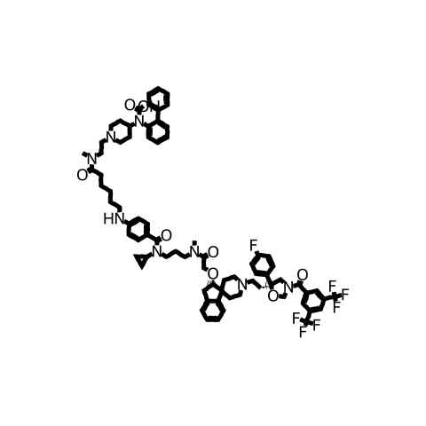 CN(CCN1CCC(N(C(=O)O)c2ccccc2-c2ccccc2)CC1)C(=O)CCCCCNc1ccc(C(=O)N(CCCN(C)C(=O)CO[C@H]2Cc3ccccc3C23CCN(CC[C@]2(c4ccc(F)cc4)CN(C(=O)c4cc(C(F)(F)F)cc(C(F)(F)F)c4)CO2)CC3)C2CC2)cc1